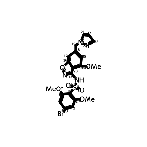 COc1cc(Br)cc(OC)c1S(=O)(=O)Nc1noc2cc(Cn3cccn3)cc(OC)c12